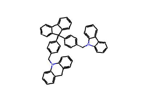 c1ccc2c(c1)Cc1ccccc1N2Cc1ccc(C2(c3ccc(Cn4c5ccccc5c5ccccc54)cc3)c3ccccc3-c3ccccc32)cc1